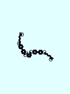 c1cc(Oc2ccc(-c3ccc(OCCCCC4CO4)cc3)cc2)nc(Oc2ccc(-c3ccc(OCCCCC4CO4)cc3)cc2)c1